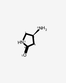 N[C@@H]1CNC(=O)C1